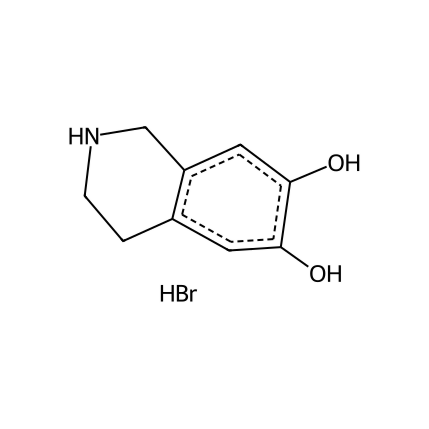 Br.Oc1cc2c(cc1O)CNCC2